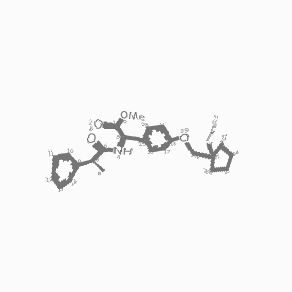 COC(=O)C(NC(=O)[C@@H](C)c1ccccc1)c1ccc(OCC2(F)CCCC2)cc1